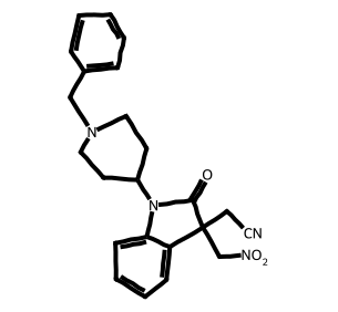 N#CCC1(C[N+](=O)[O-])C(=O)N(C2CCN(Cc3ccccc3)CC2)c2ccccc21